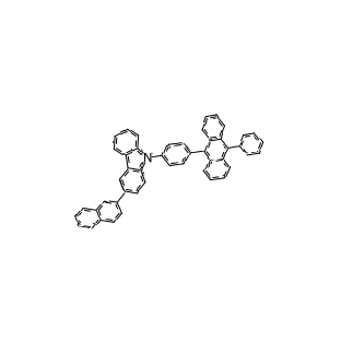 c1ccc(-c2c3ccccc3c(-c3ccc(-n4c5ccccc5c5cc(-c6ccc7ccccc7c6)ccc54)cc3)c3ccccc23)cc1